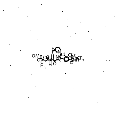 CC[C@H](NS(=O)(=O)c1ccc(-c2sc(C(=O)NNC(=O)CC(C)(C)C(=O)OC)nc2CN2CCCC(F)(F)C2)c(Cl)c1Cl)C(F)(F)F